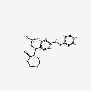 O=C1CCCCC[C@H]1[C@@H](C[N+](=O)[O-])c1ccc(OCc2ccccc2)cc1